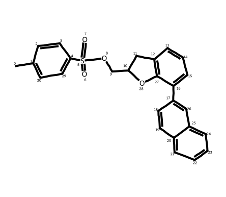 Cc1ccc(S(=O)(=O)OCC2Cc3cccc(-c4ccc5ccccc5c4)c3O2)cc1